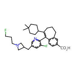 CC1(C)CCC(C2=C(c3ncc(CC4CN(CCCF)C4)cc3F)c3ccc(C(=O)O)cc3CCC2)CC1